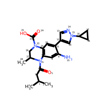 CC(C)CC(=O)N1c2cc(N)c(-c3cnn(C4CC4)c3)cc2N(C(=O)O)CC1C